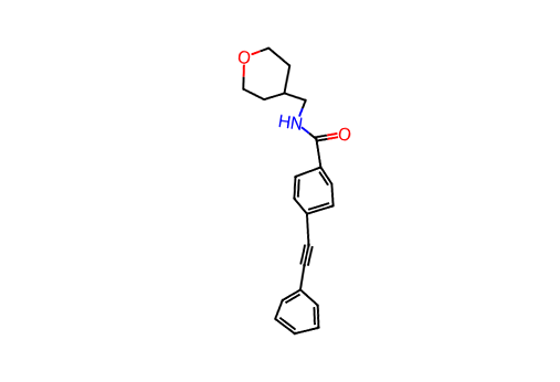 O=C(NCC1CCOCC1)c1ccc(C#Cc2ccccc2)cc1